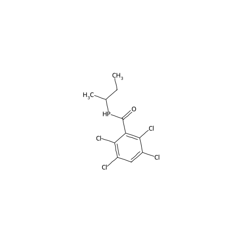 CCC(C)PC(=O)c1c(Cl)c(Cl)cc(Cl)c1Cl